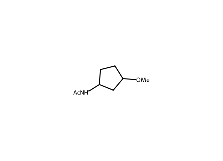 COC1CCC(NC(C)=O)C1